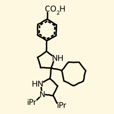 CC(C)C1CC(C2(C3CCCCCC3)CCC(c3ccc(C(=O)O)cc3)N2)NN1C(C)C